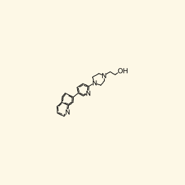 OCCN1CCN(c2ccc(-c3ccc4cccnc4c3)cn2)CC1